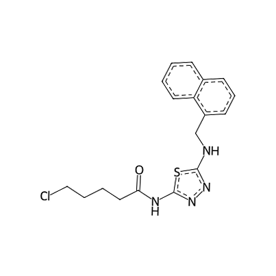 O=C(CCCCCl)Nc1nnc(NCc2cccc3ccccc23)s1